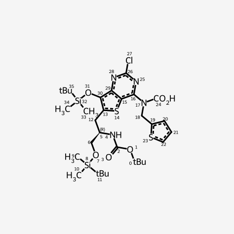 CC(C)(C)OC(=O)N[C@@H](CO[Si](C)(C)C(C)(C)C)Cc1sc2c(N(Cc3cccs3)C(=O)O)nc(Cl)nc2c1O[Si](C)(C)C(C)(C)C